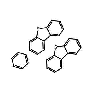 c1ccc2c(c1)sc1ccccc12.c1ccc2c(c1)sc1ccccc12.c1ccccc1